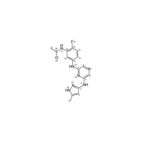 Cc1cc(Nc2cncc(Nc3ccc(F)c(N[S+](C)[O-])c3)n2)n[nH]1